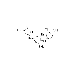 Bc1cc(NC(=O)CC(=O)O)cc(Br)c1Oc1ccc(O)c(C(C)C)c1